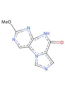 COc1ncc2c(n1)[nH]c(=O)c1cncn12